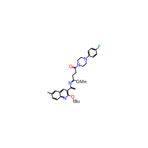 C=C(/N=C(/CCC(=O)N1CCN(c2ccc(F)cc2)CC1)OC)c1cc2cc(C)ccc2nc1OC(C)(C)C